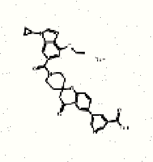 CCOc1cc(C(=O)N2CCC3(CC2)CC(=O)c2cc(-c4cncc(C(=O)O)c4)ccc2O3)cc2c1ccn2C1CC1.[NaH]